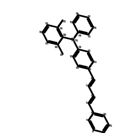 Cc1ccc(/C=C/C=C/c2ccc(N(c3ccccc3)c3c(C)cccc3C)cc2)cc1